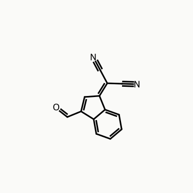 N#CC(C#N)=C1C=C(C=O)c2ccccc21